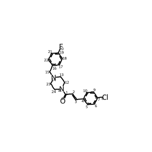 O=C(C=Cc1ccc(Cl)cc1)N1CCN(Cc2ccc(F)cc2)CC1